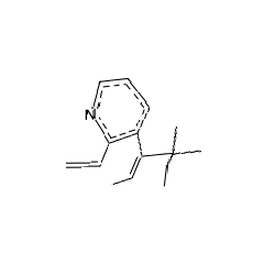 C=Cc1ncccc1/C(=C\C)C(C)(C)C